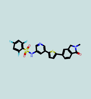 CN1Cc2cc(-c3ccc(-c4cncc(NS(=O)(=O)c5c(F)cc(F)cc5F)c4)s3)ccc2C1=O